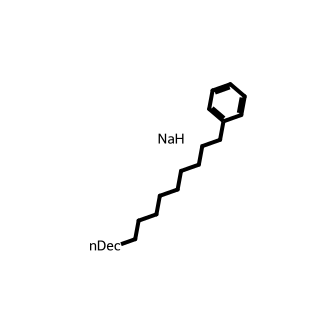 CCCCCCCCCCCCCCCCCCCc1ccccc1.[NaH]